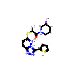 CCC(Sc1ccc2nnc(-c3cccs3)n2n1)C(=O)N1CCCC(I)C1